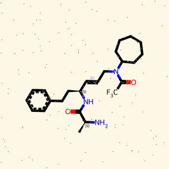 C[C@H](N)C(=O)N[C@H](/C=C/CN(C(=O)C(F)(F)F)C1CCCCCC1)CCc1ccccc1